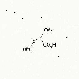 CCCSC(OC(C)=O)C(=O)O